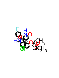 CCC(CC)(Oc1ccc(Cl)cc1[C@H]1CC(=O)N[C@@H](c2cc(F)ccc2C)[C@]12C(=O)Nc1cc(Cl)ccc12)C(=O)OC